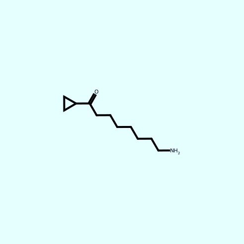 NCCCCCCCC(=O)C1CC1